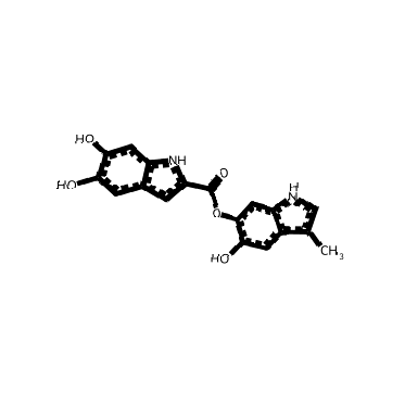 Cc1c[nH]c2cc(OC(=O)c3cc4cc(O)c(O)cc4[nH]3)c(O)cc12